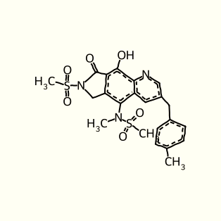 Cc1ccc(Cc2cnc3c(O)c4c(c(N(C)S(C)(=O)=O)c3c2)CN(S(C)(=O)=O)C4=O)cc1